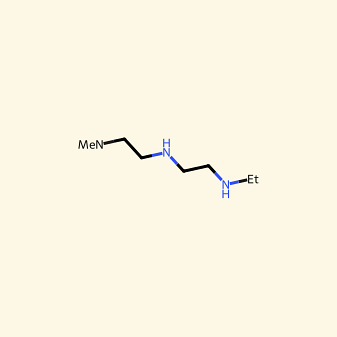 CCNCCNCCNC